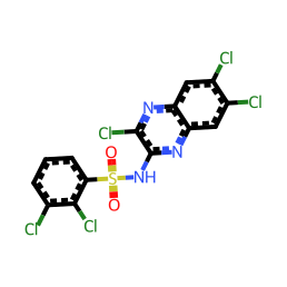 O=S(=O)(Nc1nc2cc(Cl)c(Cl)cc2nc1Cl)c1cccc(Cl)c1Cl